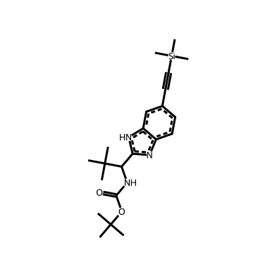 CC(C)(C)OC(=O)NC(c1nc2ccc(C#C[Si](C)(C)C)cc2[nH]1)C(C)(C)C